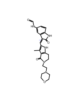 Cc1c(/C=C2\C(=O)Nc3ccc(NC=O)cc32)[nH]c2c1C(=O)N(CCN1CCOCC1)CC2